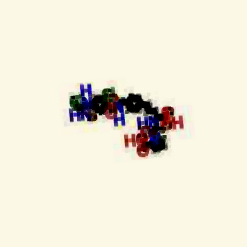 C[C@H](N[C@@H](CCCc1ccc(CNS(=O)(=O)c2cc3c(cc2Cl)NC(CCl)NS3)cc1)C(=O)O)C(=O)N1CCC[C@H]1C(=O)O